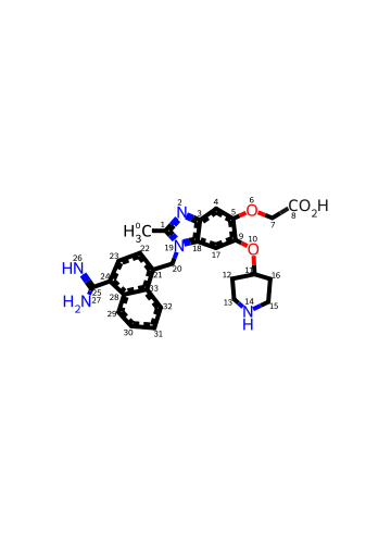 Cc1nc2cc(OCC(=O)O)c(OC3CCNCC3)cc2n1Cc1ccc(C(=N)N)c2ccccc12